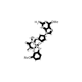 COc1cccc(OP(=O)(N[C@@H](C)C(=O)OC(C)C)OC[C@@H]2C=C[C@H](n3cnc4c(OC)nc(N)nc43)C2)c1